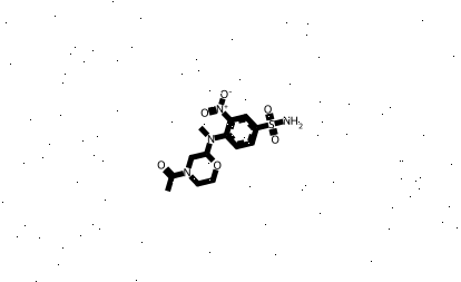 CC(=O)N1CCOC(N(C)c2ccc(S(N)(=O)=O)cc2[N+](=O)[O-])C1